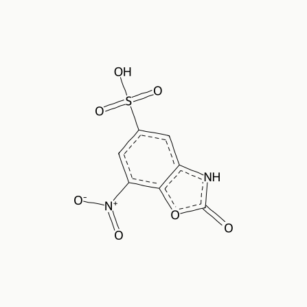 O=c1[nH]c2cc(S(=O)(=O)O)cc([N+](=O)[O-])c2o1